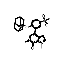 Cn1cc(-c2cc(S(C)(=O)=O)ccc2OC23CC4CC(CC(C4)C2)C3)c2cc[nH]c2c1=O